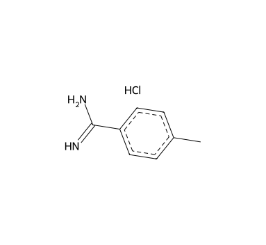 Cc1ccc(C(=N)N)cc1.Cl